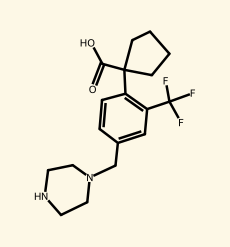 O=C(O)C1(c2ccc(CN3CCNCC3)cc2C(F)(F)F)CCCC1